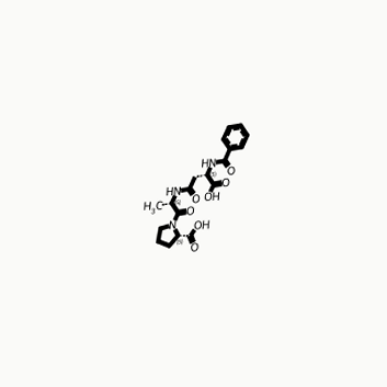 C[C@H](NC(=O)C[C@H](NC(=O)c1ccccc1)C(=O)O)C(=O)N1CCC[C@H]1C(=O)O